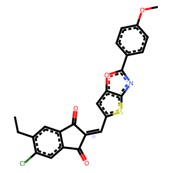 CCc1cc2c(cc1Cl)C(=O)/C(=C/c1cc3oc(-c4ccc(OC)cc4)nc3s1)C2=O